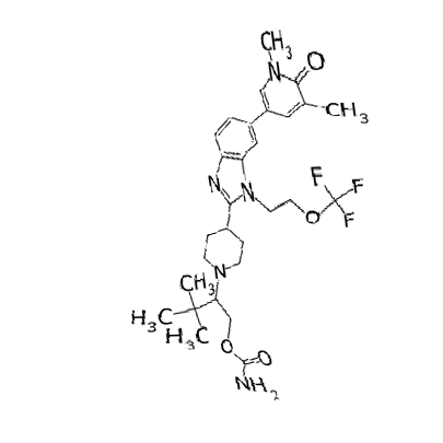 Cc1cc(-c2ccc3nc(C4CCN(C(COC(N)=O)C(C)(C)C)CC4)n(CCOC(F)(F)F)c3c2)cn(C)c1=O